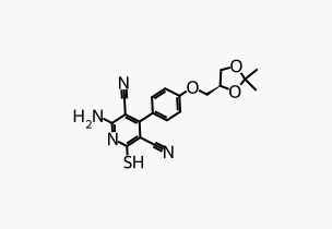 CC1(C)OC[C@H](COc2ccc(-c3c(C#N)c(N)nc(S)c3C#N)cc2)O1